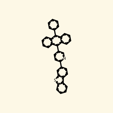 c1ccc(-c2c3ccccc3c(-c3ccc(-c4ccc5c(c4)sc4ccccc45)nc3)c3ccccc23)cc1